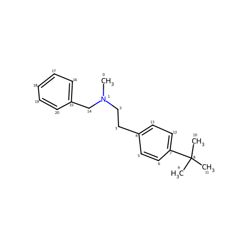 CN(CCc1ccc(C(C)(C)C)cc1)Cc1ccccc1